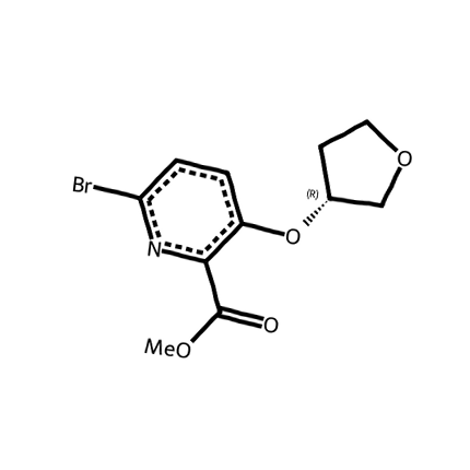 COC(=O)c1nc(Br)ccc1O[C@@H]1CCOC1